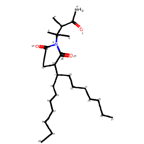 BC(=O)C(C)C(C)(C)N1C(=O)CC(C(CCCCCCC)CCCCCCC)C1=O